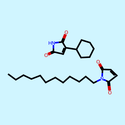 CCCCCCCCCCCCN1C(=O)C=CC1=O.O=C1C=C(C2CCCCC2)C(=O)N1